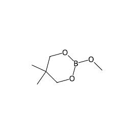 COB1OCC(C)(C)CO1